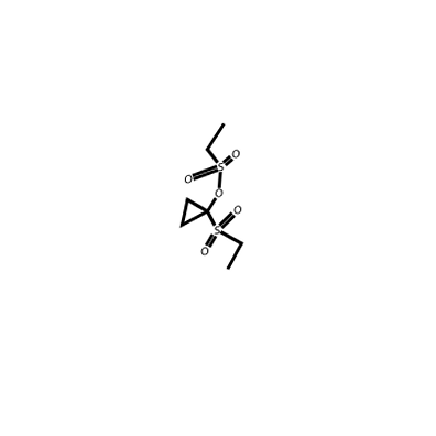 CCS(=O)(=O)OC1(S(=O)(=O)CC)CC1